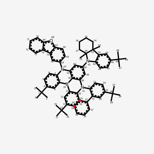 CC(C)(C)c1ccc2c(c1)B1c3cc(C(C)(C)C)ccc3N(c3ccc(C(C)(C)C)cc3-c3ccccc3)c3cc(N4c5ccc(C(C)(C)C)cc5C5(C)CCCCC45C)cc(c31)N2c1ccc2oc3ccccc3c2c1